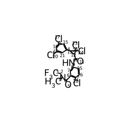 CN(CC(F)(F)F)C(=O)c1cc(NC(=O)C2C(c3cc(Cl)cc(Cl)c3)C2(Cl)Cl)ccc1Cl